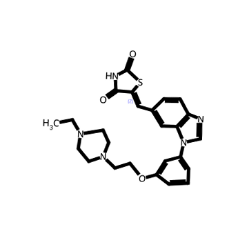 CCN1CCN(CCOc2cccc(-n3cnc4ccc(/C=C5\SC(=O)NC5=O)cc43)c2)CC1